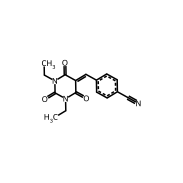 CCN1C(=O)C(=Cc2ccc(C#N)cc2)C(=O)N(CC)C1=O